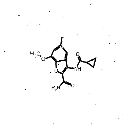 COc1cc(F)cc2c(NC(=O)C3CC3)c(C(N)=O)oc12